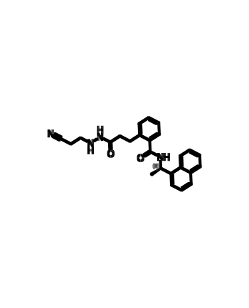 C[C@@H](NC(=O)c1ccccc1CCC(=O)NNCCC#N)c1cccc2ccccc12